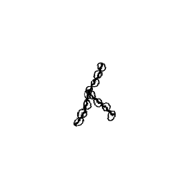 COCCOCCOCCOP(OCCOCCOCCOC)OCCOCCOCCOC